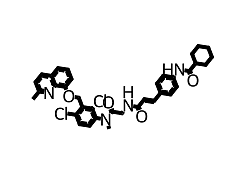 Cc1ccc2cccc(OCc3c(Cl)ccc(N(C)C(=O)CNC(=O)/C=C/c4ccc(NC(=O)C5CCCCC5)cc4)c3Cl)c2n1